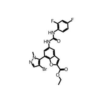 CCOC(=O)c1cc2cc(NC(=O)Nc3ccc(F)cc3F)cc(-c3c(Br)cnn3C)c2o1